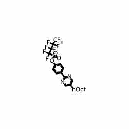 CCCCCCCCc1cnc(-c2ccc(OS(=O)(=O)C(F)(F)C(F)(F)C(F)(F)C(F)(F)F)cc2)nc1